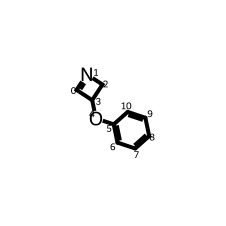 C1=NCC1Oc1ccccc1